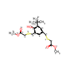 COC(=O)CSCc1cc(CSCC(=O)OC)c(O)c(C(C)(C)C)c1